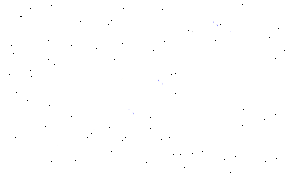 NC(=O)C1CCCN(c2nc(-c3ccccc3)cs2)C1